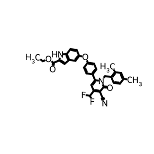 CCOC(=O)c1cc2cc(Oc3ccc(-c4cc(C(F)F)c(C#N)c(=O)n4Cc4ccc(C)cc4C)cc3)ccc2[nH]1